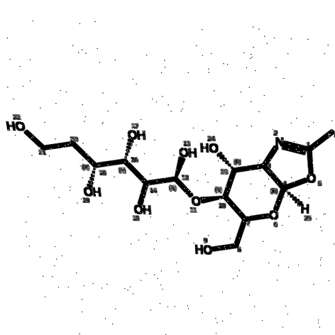 CC1=NC2[C@@H](O1)OC(CO)[C@@H](O[C@H](O)C(O)[C@@H](O)[C@H](O)CCO)[C@@H]2O